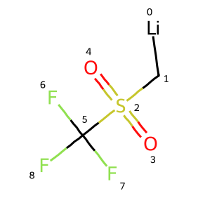 [Li][CH2]S(=O)(=O)C(F)(F)F